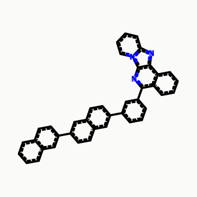 c1cc(-c2ccc3cc(-c4ccc5ccccc5c4)ccc3c2)cc(-c2nc3c(nc4ccccn43)c3ccccc23)c1